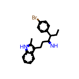 CCC(C(=N)CCc1c(C)[nH]c2ccccc12)c1ccc(Br)cc1